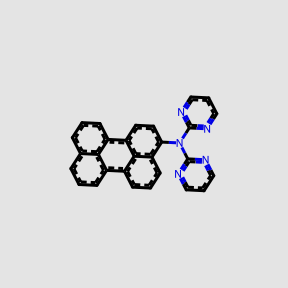 c1cnc(N(c2ncccn2)c2ccc3c4cccc5cccc(c6cccc2c63)c54)nc1